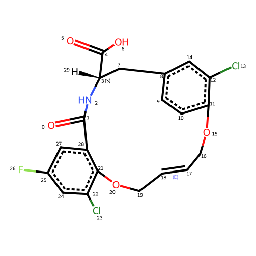 O=C1N[C@H](C(=O)O)Cc2ccc(c(Cl)c2)OC/C=C/COc2c(Cl)cc(F)cc21